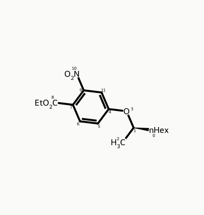 CCCCCC[C@@H](C)Oc1ccc(C(=O)OCC)c([N+](=O)[O-])c1